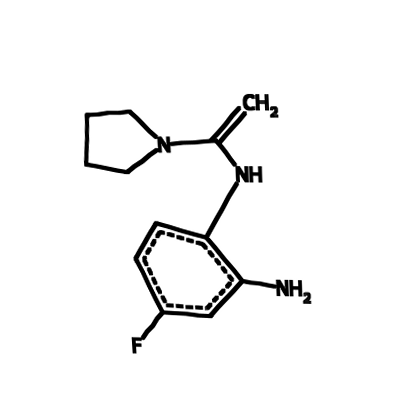 C=C(Nc1ccc(F)cc1N)N1CCCC1